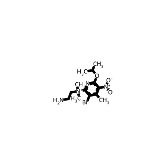 Cc1c(Br)c([N+](C)(C)CCN)nc(OC(C)C)c1[N+](=O)[O-]